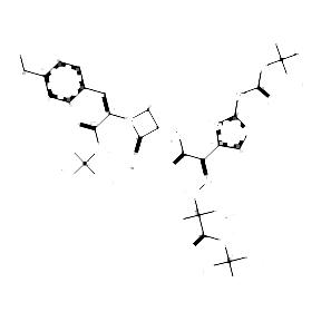 CC(C)(C)OC(=O)Nc1nc(/C(=N/OC(C)(C)C(=O)OC(C)(C)C)C(=O)N[C@H]2CN(/C(=C/c3ccc(CCl)cc3)C(=O)OC(C)(C)C)C2=O)cs1